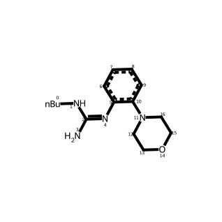 CCCCN/C(N)=N\c1ccccc1N1CCOCC1